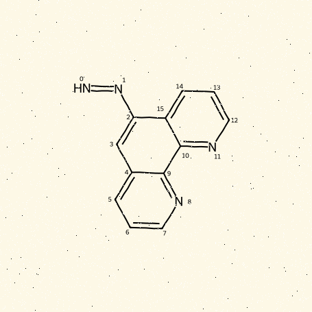 N=Nc1cc2cccnc2c2ncccc12